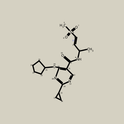 CC(/C=C/S(C)(=O)=O)NC(=O)c1cnc(C2CC2)nc1OC1CCCC1